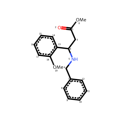 COC(=O)CC(NCc1ccccc1)c1ccccc1OC